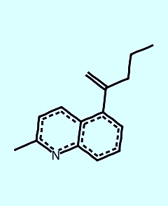 C=C(CCC)c1cccc2nc(C)ccc12